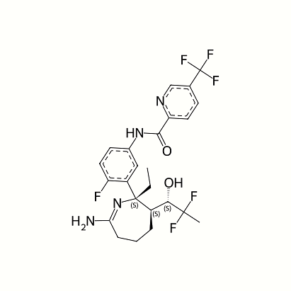 CC[C@]1(c2cc(NC(=O)c3ccc(C(F)(F)F)cn3)ccc2F)N=C(N)CCC[C@@H]1[C@H](O)C(C)(F)F